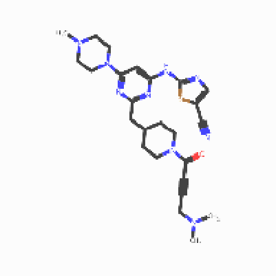 CN(C)CC#CC(=O)N1CCC(Cc2nc(Nc3ncc(C#N)s3)cc(N3CCN(C)CC3)n2)CC1